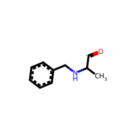 CC([C]=O)NCc1ccccc1